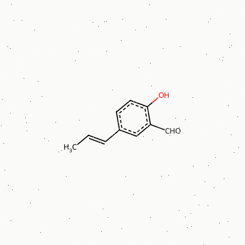 C/C=C/c1ccc(O)c(C=O)c1